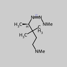 CNCCC(C)(C)[C@@H](C)/N=N\NC